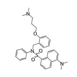 CN(C)CCCOc1ccccc1CN(c1ccccc1)S(=O)(=O)c1cccc2c(N(C)C)cccc12